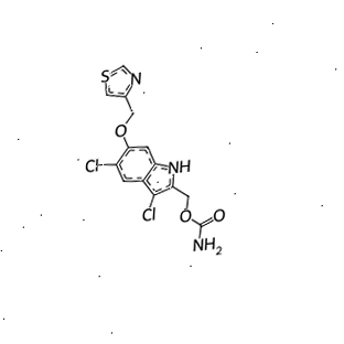 NC(=O)OCc1[nH]c2cc(OCc3cscn3)c(Cl)cc2c1Cl